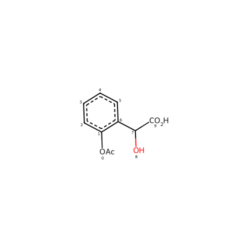 CC(=O)Oc1ccccc1C(O)C(=O)O